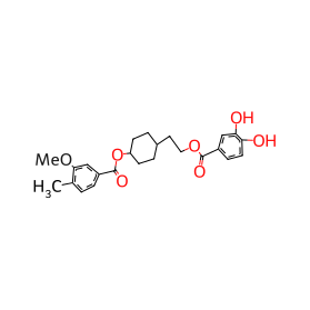 COc1cc(C(=O)OC2CCC(CCOC(=O)c3ccc(O)c(O)c3)CC2)ccc1C